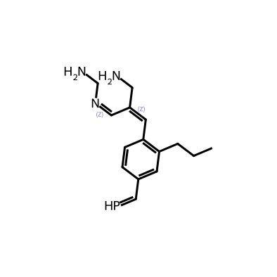 CCCc1cc(C=P)ccc1/C=C(\C=N/CN)CN